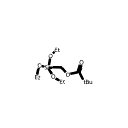 CCO[Si](COC(=O)C(C)(C)C)(OCC)OCC